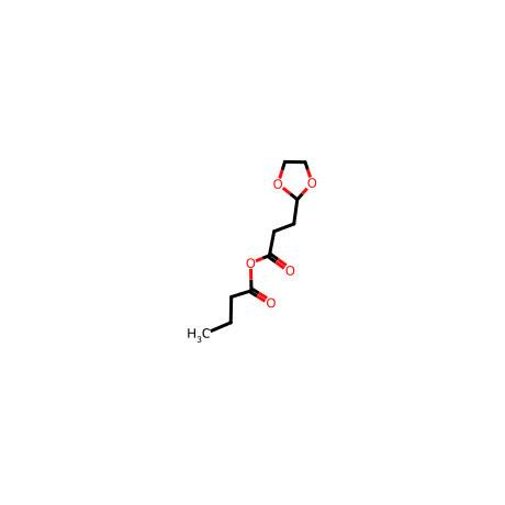 CCCC(=O)OC(=O)CCC1OCCO1